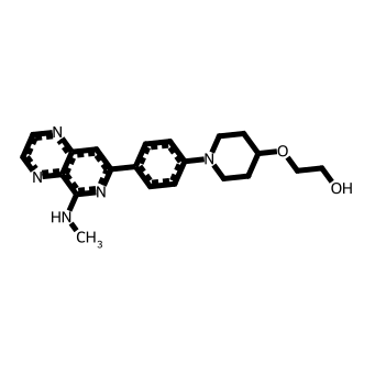 CNc1nc(-c2ccc(N3CCC(OCCO)CC3)cc2)cc2nccnc12